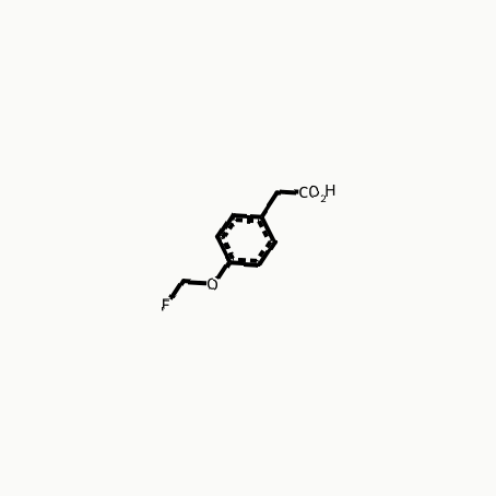 O=C(O)Cc1ccc(OCF)cc1